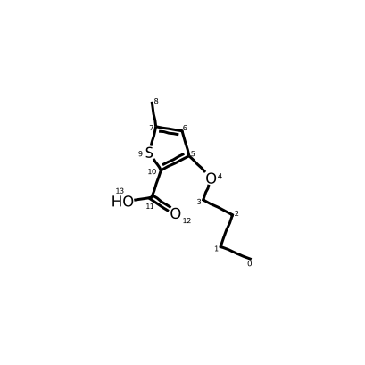 CCCCOc1cc(C)sc1C(=O)O